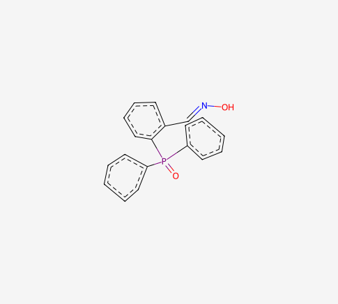 O=P(c1ccccc1)(c1ccccc1)c1ccccc1/C=N/O